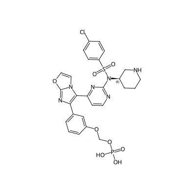 O=P(O)(O)OCOc1cccc(-c2nc3occn3c2-c2ccnc(N([C@@H]3CCCNC3)S(=O)(=O)c3ccc(Cl)cc3)n2)c1